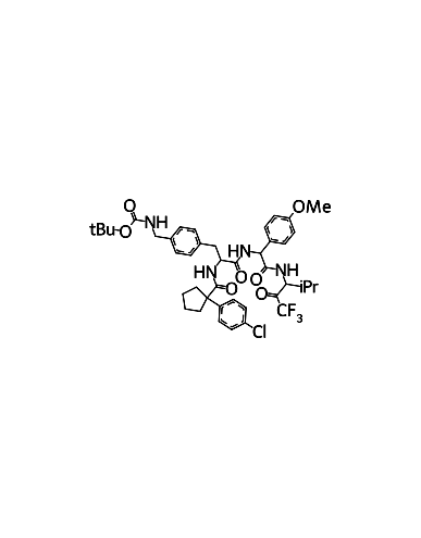 COc1ccc(C(NC(=O)C(Cc2ccc(CNC(=O)OC(C)(C)C)cc2)NC(=O)C2(c3ccc(Cl)cc3)CCCC2)C(=O)NC(C(=O)C(F)(F)F)C(C)C)cc1